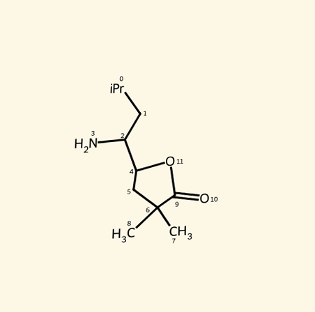 CC(C)CC(N)C1CC(C)(C)C(=O)O1